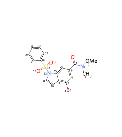 CON(C)C(=O)c1cc(Br)c2ccn(S(=O)(=O)c3ccccc3)c2c1